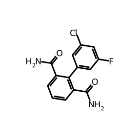 NC(=O)c1cccc(C(N)=O)c1-c1cc(F)cc(Cl)c1